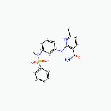 Cc1ccc(C(N)=O)c(Nc2cccc(N(C)S(=O)(=O)c3ccccc3)c2)n1